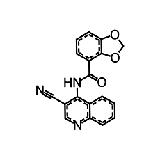 N#Cc1cnc2ccccc2c1NC(=O)c1cccc2c1OCO2